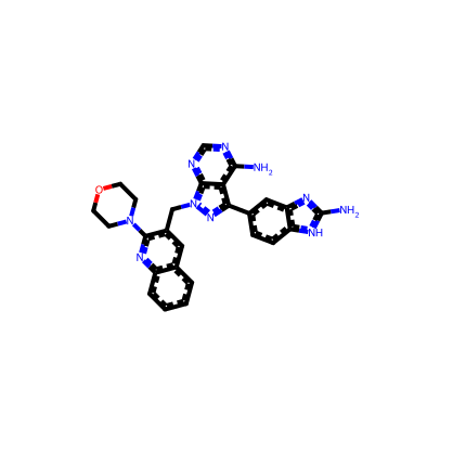 Nc1nc2cc(-c3nn(Cc4cc5ccccc5nc4N4CCOCC4)c4ncnc(N)c34)ccc2[nH]1